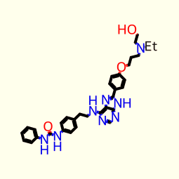 CCN(CCO)CCCOc1ccc(-c2nc3c(NCCc4ccc(NC(=O)Nc5ccccc5)cc4)ncnc3[nH]2)cc1